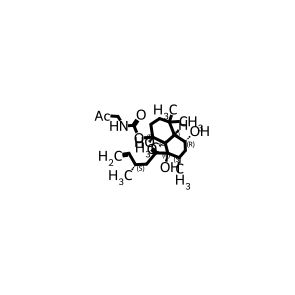 C=C[C@@H](C)CC(=O)[C@@]1(O)[C@@H](C)C[C@@H](O)[C@H]2C(C)(C)CC[C@@](O)(OC(=O)NCC(C)=O)[C@@]21C